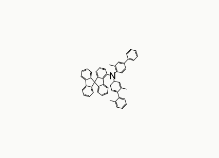 CC1=CC(N(c2ccc(-c3ccccc3)cc2C)c2cccc3c2-c2ccccc2C32c3ccccc3-c3ccccc32)CC=C1c1ccccc1C